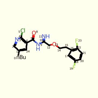 CCCCc1cnc(Cl)c(C(=O)NC(=N)COCCc2cc(F)ccc2F)c1